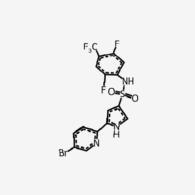 O=S(=O)(Nc1cc(F)c(C(F)(F)F)cc1F)c1c[nH]c(-c2ccc(Br)cn2)c1